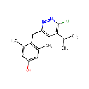 Cc1cc(O)cc(C)c1Cc1cc(C(C)C)c(Cl)nn1